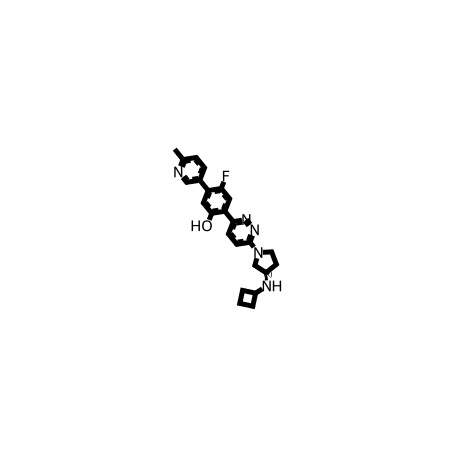 Cc1ccc(-c2cc(O)c(-c3ccc(N4CC[C@@H](NC5CCC5)C4)nn3)cc2F)cn1